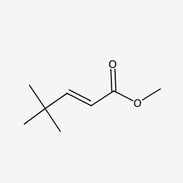 COC(=O)/C=C/C(C)(C)C